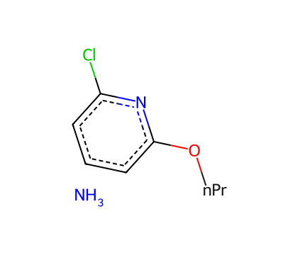 CCCOc1cccc(Cl)n1.N